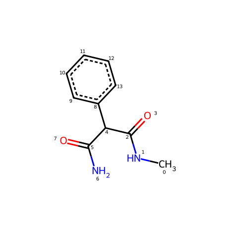 CNC(=O)C(C(N)=O)c1ccccc1